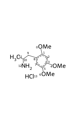 COc1cc(OC)c(OC)cc1CC(C)N.Cl